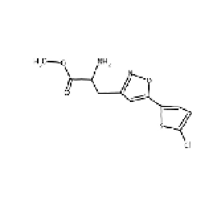 COC(=O)C(N)Cc1cc(-c2ccc(Cl)s2)on1